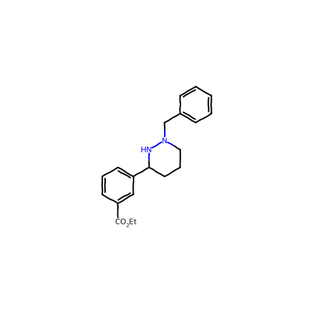 CCOC(=O)c1cccc(C2CCCN(Cc3ccccc3)N2)c1